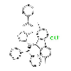 Cc1ccc2c(c1)[CH]([Zr+2](=[C](c1ccccc1)c1ccccc1)[CH]1C=Cc3cc(-c4ccccc4)ccc31)c1cc(C)ccc1-2.[Cl-].[Cl-]